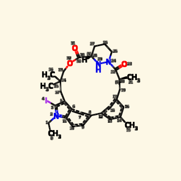 CCn1c(I)c2c3cc(ccc31)-c1cc(C)cc(c1)C[C@H](C)C(=O)N1CCC[C@H](N1)C(=O)OCC(C)(C)C2